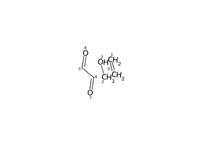 C=C.CO.O=CC=O